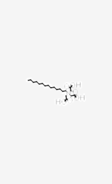 CCCCCCCCCCCCCC[N+](CC(=O)O)(CC(=O)O)CC(=O)O